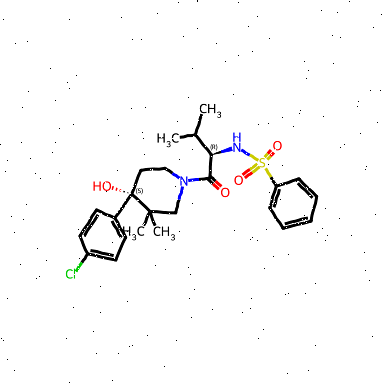 CC(C)[C@@H](NS(=O)(=O)c1ccccc1)C(=O)N1CC[C@](O)(c2ccc(Cl)cc2)C(C)(C)C1